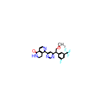 COCC(c1cc(F)cc(C(F)(F)F)c1)c1cc(-c2nccc3c2CCNC3=O)ncn1